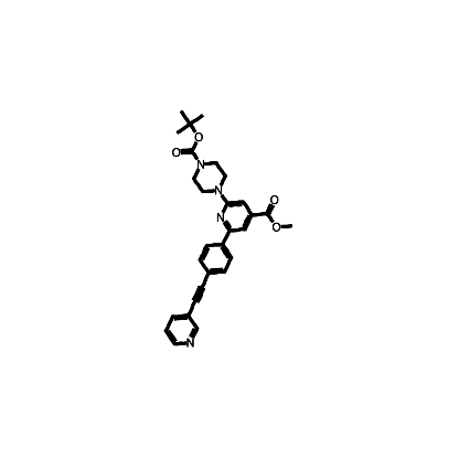 COC(=O)c1cc(-c2ccc(C#Cc3cccnc3)cc2)nc(N2CCN(C(=O)OC(C)(C)C)CC2)c1